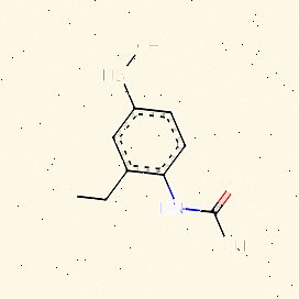 CBc1ccc(NC(C)=O)c(CC)c1